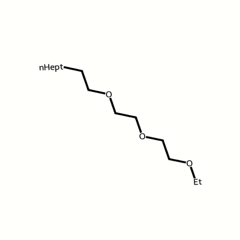 CCCCCCCCCOCCOCCOCC